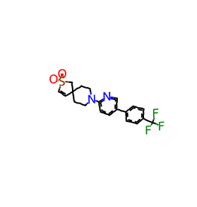 O=S1(=O)C=CC2(CCN(c3ccc(-c4ccc(C(F)(F)F)cc4)cn3)CC2)C1